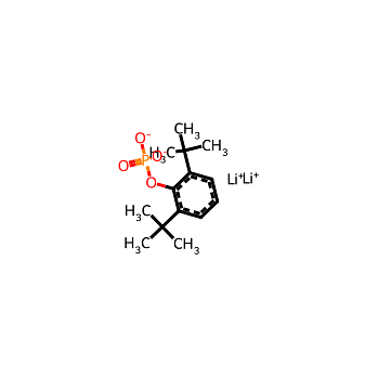 CC(C)(C)c1cccc(C(C)(C)C)c1OP(=O)([O-])[O-].[Li+].[Li+]